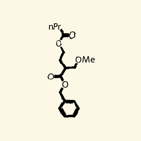 CCCC(=O)OCCC(COC)C(=O)OCc1ccccc1